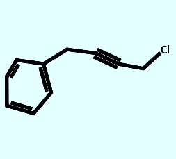 ClCC#CCc1ccccc1